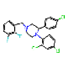 Fc1cccc(CN2CCN(c3ccc(Cl)cc3Cl)C(c3ccc(Cl)cc3)C2)c1F